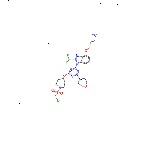 CN(C)CCCOc1cccc2c1nc(C(F)F)n2-c1nc(OC2CCN(S(=O)(=O)CCl)CC2)nc(N2CCOCC2)n1